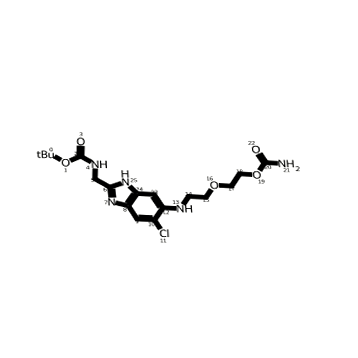 CC(C)(C)OC(=O)NCc1nc2cc(Cl)c(NCCOCCOC(N)=O)cc2[nH]1